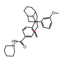 C=CCN1CC2CCCC(C1)N2C(c1ccc(C(=O)NN2CCCCC2)cc1)c1cccc(OC)c1